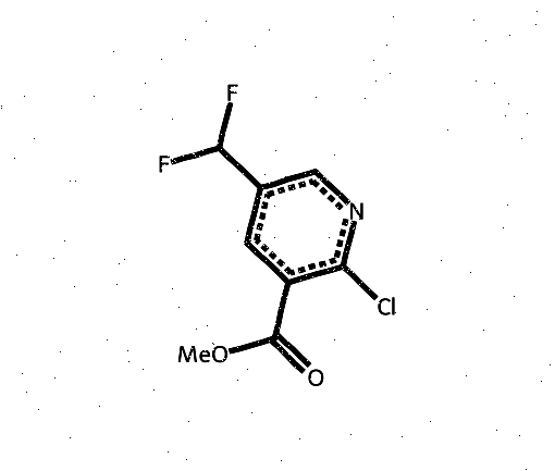 COC(=O)c1cc(C(F)F)cnc1Cl